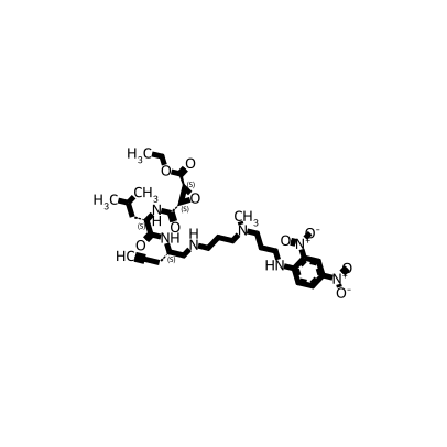 C#CC[C@@H](CNCCCN(C)CCCNc1ccc([N+](=O)[O-])cc1[N+](=O)[O-])NC(=O)[C@H](CC(C)C)NC(=O)[C@H]1O[C@@H]1C(=O)OCC